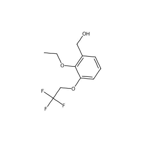 CCOc1c(CO)cccc1OCC(F)(F)F